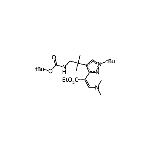 CCOC(=O)/C(=C/N(C)C)c1nn(C(C)(C)C)cc1C(C)(C)CNC(=O)OC(C)(C)C